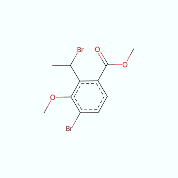 COC(=O)c1ccc(Br)c(OC)c1C(C)Br